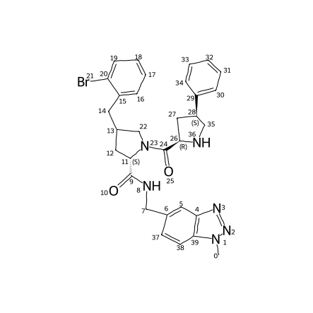 Cn1nnc2cc(CNC(=O)[C@@H]3CC(Cc4ccccc4Br)CN3C(=O)[C@H]3C[C@@H](c4ccccc4)CN3)ccc21